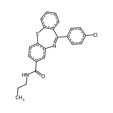 CCCNC(=O)c1ccc2c(c1)N=C(c1ccc(Cl)cc1)c1ccccc1S2